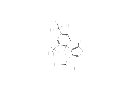 CC(C)OSC1(C2=[C]([Ti+2])CC=C2)CC=C(C(C)(C)C)C=C1C(C)(C)C.[Cl-].[Cl-]